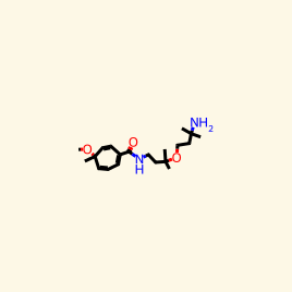 COC1(C)C=CC=C(C(=O)NCCC(C)(C)OCCC(C)(C)N)C=C1